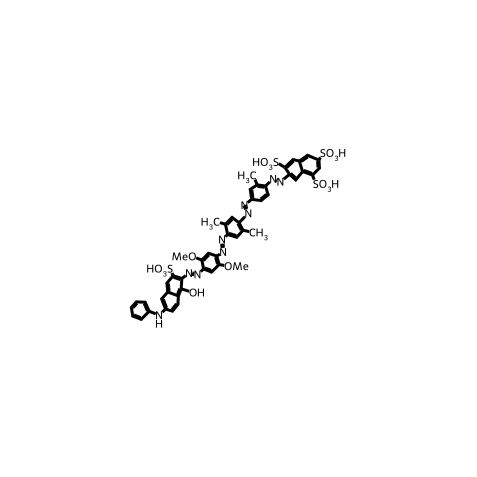 COc1cc(N=Nc2c(S(=O)(=O)O)cc3cc(Nc4ccccc4)ccc3c2O)c(OC)cc1N=Nc1cc(C)c(N=Nc2ccc(N=Nc3cc4c(S(=O)(=O)O)cc(S(=O)(=O)O)cc4cc3S(=O)(=O)O)c(C)c2)cc1C